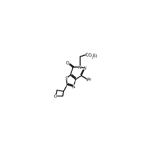 CCOC(=O)Cn1nc(C(C)C)c2nc(C3COC3)sc2c1=O